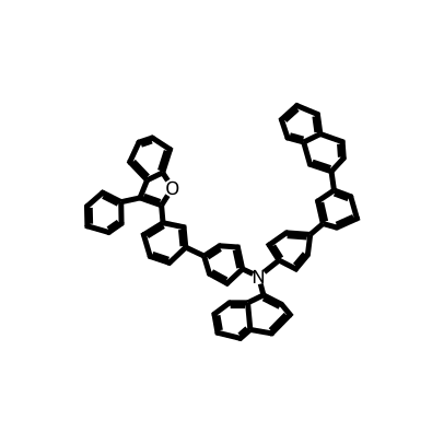 c1ccc(-c2c(-c3cccc(-c4ccc(N(c5ccc(-c6cccc(-c7ccc8ccccc8c7)c6)cc5)c5cccc6ccccc56)cc4)c3)oc3ccccc23)cc1